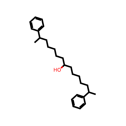 CC(CCCCCC(O)CCCCCC(C)c1ccccc1)c1ccccc1